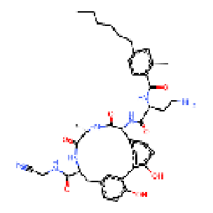 CCCCCCc1ccc(C(=O)N[C@@H](CCN)C(=O)N[C@@H]2C(=O)N[C@@H](C)C(=O)N[C@H](C(=O)NCC#N)Cc3ccc(O)c(c3)-c3cc2ccc3O)c(C)c1